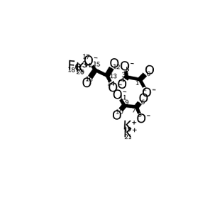 O=C([O-])C(=O)[O-].O=C([O-])C(=O)[O-].O=C([O-])C(=O)[O-].[Fe+3].[K+].[K+].[K+]